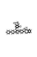 Cc1cc(C[C@@H](NC(=O)N2CCC(N3CCc4ccccc4NC3=O)CC2)C(=O)N2CCN(C3CCOCC3)CC2)cc(Cl)c1OC=O